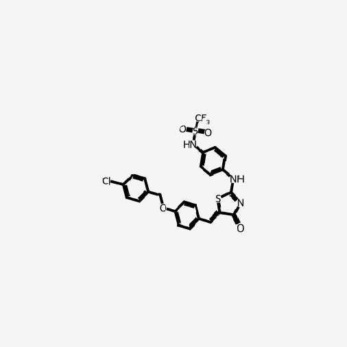 O=C1N=C(Nc2ccc(NS(=O)(=O)C(F)(F)F)cc2)SC1=Cc1ccc(OCc2ccc(Cl)cc2)cc1